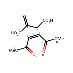 C=C(CC(=O)O)C(=O)O.COC(=O)/C=C\C(=O)OC